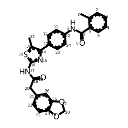 Cc1ccccc1C(=O)Nc1ccc(-c2nc(NC(=O)Cc3ccc4c(c3)OCO4)sc2C)cc1